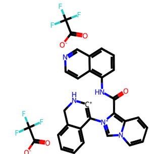 O=C(Nc1cccc2cnccc12)c1c2ccccn2c[n+]1C1=[C+]NCc2ccccc21.O=C([O-])C(F)(F)F.O=C([O-])C(F)(F)F